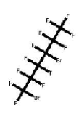 FC(F)(F)C(F)(F)C(F)(Br)C(F)(F)C(F)(F)C(F)(F)Br